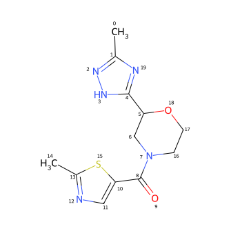 Cc1n[nH]c(C2CN(C(=O)c3cnc(C)s3)CCO2)n1